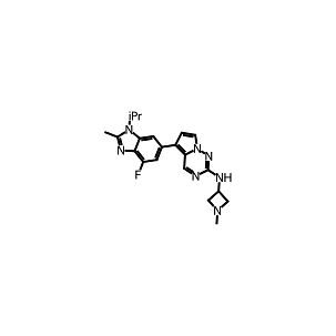 Cc1nc2c(F)cc(-c3ccn4nc(NC5CN(C)C5)ncc34)cc2n1C(C)C